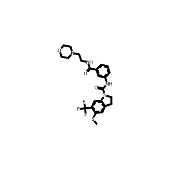 CSc1cc2c(cc1C(F)(F)F)N(C(=O)Nc1cccc(C(=O)NCCN3CCOCC3)c1)CC2